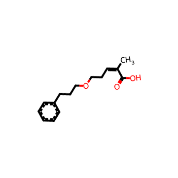 CC(=CCCOCCCc1ccccc1)C(=O)O